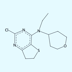 CCN(c1nc(Cl)nc2c1SCC2)C1CCOCC1